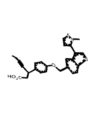 CC#CC(CC(=O)O)c1ccc(OCc2ccc3scc(-c4ccnn4C)c3c2)cc1